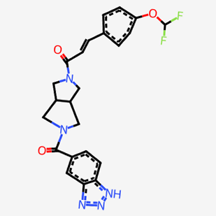 O=C(/C=C/c1ccc(OC(F)F)cc1)N1CC2CN(C(=O)c3ccc4[nH]nnc4c3)CC2C1